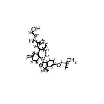 C[C@@H](F)COc1ccc(C(=O)N2CCC(F)(F)C(=CC(=O)NCCO)c3cc(F)ccc32)c(C(F)(F)F)c1